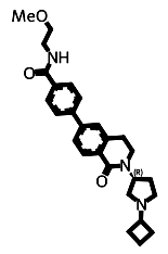 COCCNC(=O)c1ccc(-c2ccc3c(c2)CCN([C@@H]2CCN(C4CCC4)C2)C3=O)cc1